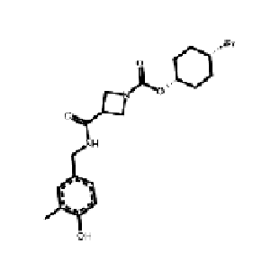 Cc1cc(CNC(=O)C2CN(C(=O)O[C@H]3CC[C@@H](C(C)C)CC3)C2)ccc1O